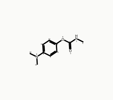 CNC(=O)Oc1ccc(N(C)C)cc1